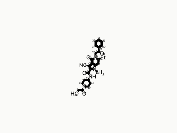 CCc1cc2c(c(C#N)c(C(=O)NC3CCN(C(=O)CO)CC3)n2C)c(=O)n1CC(=O)c1ccccc1